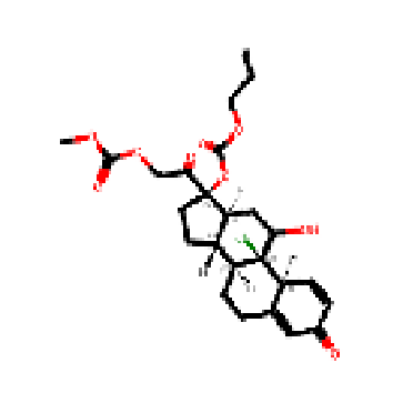 CCCOC(=O)O[C@]1(C(=O)COC(=O)OC)CC[C@H]2[C@@H]3CCC4=CC(=O)C=C[C@]4(C)[C@@]3(Cl)C(O)C[C@@]21C